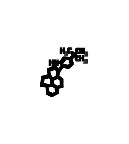 CC(C)(C)c1ccc2c(c1)[nH]c1cc3ccc4cccc5ccc(c12)c3c45